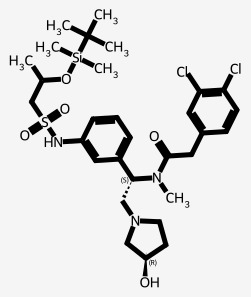 CC(CS(=O)(=O)Nc1cccc([C@@H](CN2CC[C@@H](O)C2)N(C)C(=O)Cc2ccc(Cl)c(Cl)c2)c1)O[Si](C)(C)C(C)(C)C